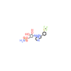 NS(=O)(=O)OCC1CC(Nc2ccnc3cc(-c4cccc(SC(F)(F)F)c4)nn23)C(O)C1O